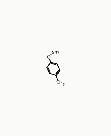 Cc1ccc([O][Sm])cc1